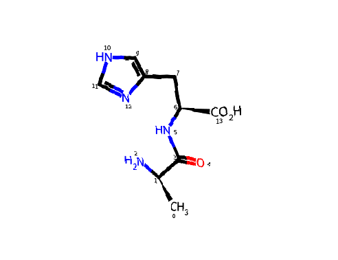 C[C@@H](N)C(=O)N[C@@H](Cc1c[nH]cn1)C(=O)O